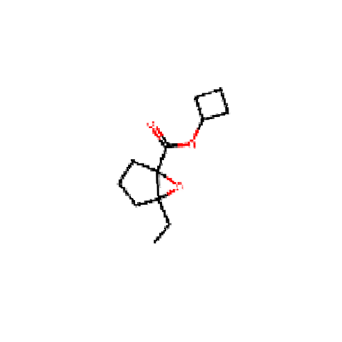 CCC12CCCC1(C(=O)OC1CCC1)O2